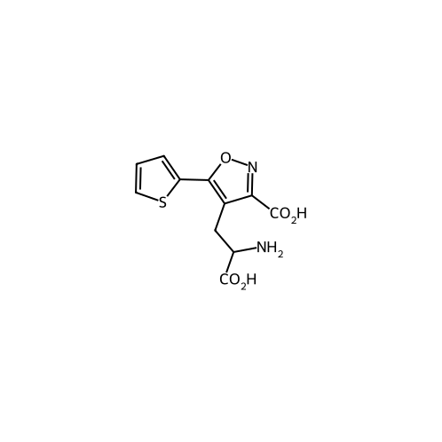 NC(Cc1c(C(=O)O)noc1-c1cccs1)C(=O)O